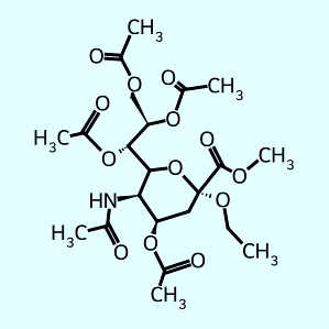 CCO[C@]1(C(=O)OC)C[C@@H](OC(C)=O)[C@@H](NC(C)=O)C([C@H](OC(C)=O)[C@@H](COC(C)=O)OC(C)=O)O1